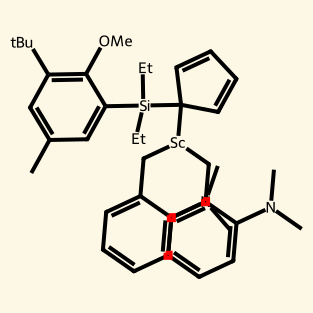 CC[Si](CC)(c1cc(C)cc(C(C)(C)C)c1OC)[C]1([Sc]([CH2]c2ccccc2N(C)C)[CH2]c2ccccc2N(C)C)C=CC=C1